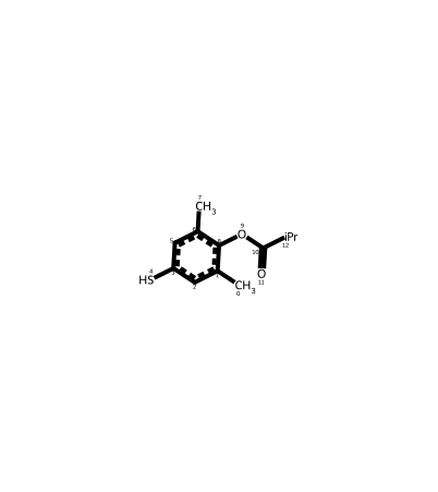 Cc1cc(S)cc(C)c1OC(=O)C(C)C